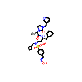 CCC(C)C(C(=O)N[C@@H](Cc1ccccc1)[C@H](O)CN(CC1CCC1)S(=O)(=O)c1ccc(C=NO)cc1)N1CCN(Cc2cccnc2)C1=O